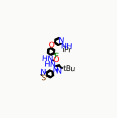 CC(C)Nc1cc(Oc2ccc(NC(=O)Nc3cc(C(C)(C)C)nn3-c3ccc4scnc4c3)c(F)c2)ccn1